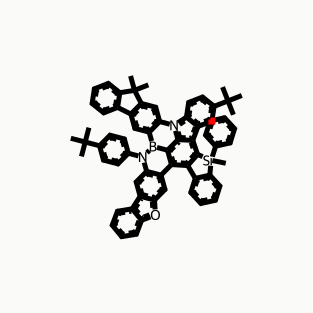 CC(C)(C)c1ccc(N2B3c4cc5c(cc4-n4c6ccc(C(C)(C)C)cc6c6c7c(c(c3c64)-c3cc4oc6ccccc6c4cc32)-c2ccccc2[Si]7(C)c2ccccc2)C(C)(C)c2ccccc2-5)cc1